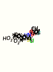 C[C@@H](OC(=O)Nc1cc(Cl)sc1-c1ccc(-c2ccc(C3(C(=O)O)CC3)cc2)c([N+](=O)[O-])c1)c1ccc(F)cc1